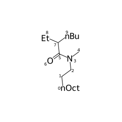 CCCCCCCCCCN(C)C(=O)C(CC)CCCC